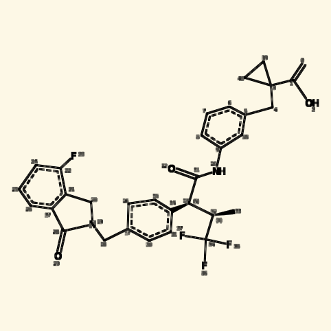 C=C(O)C1(Cc2cccc(NC(=O)[C@H](c3ccc(CN4Cc5c(F)cccc5C4=O)cc3)[C@@H](C)C(F)(F)F)c2)CC1